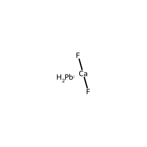 [F][Ca][F].[PbH2]